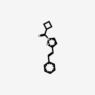 O=C(C1CCC1)n1ccc(/C=C/c2ccccc2)n1